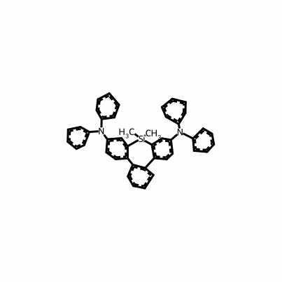 C[Si]1(C)c2cc(N(c3ccccc3)c3ccccc3)ccc2-c2ccccc2-c2ccc(N(c3ccccc3)c3ccccc3)cc21